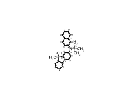 CC1(C)c2ccccc2-c2ccc(N(c3ccc4ccccc4c3)C(C)(C)C)cc21